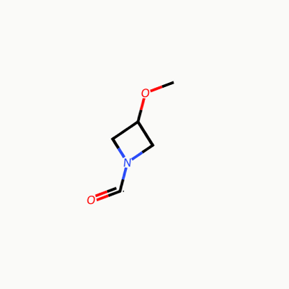 COC1CN([C]=O)C1